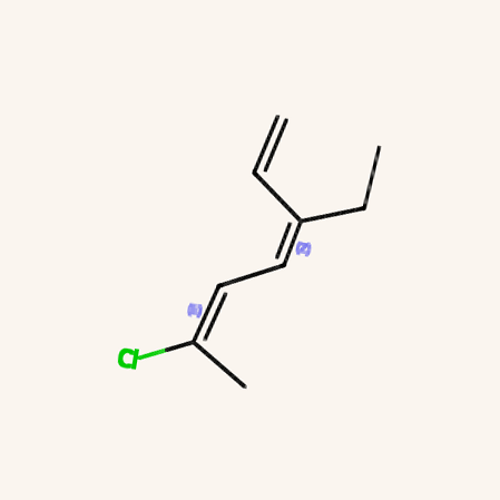 C=C/C(=C\C=C(/C)Cl)CC